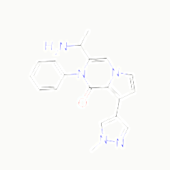 CC(N)c1cn2ccc(-c3cnn(C)c3)c2c(=O)n1-c1ccccc1